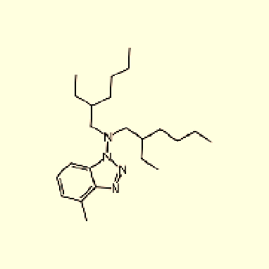 CCCCC(CC)CN(CC(CC)CCCC)n1nnc2c(C)cccc21